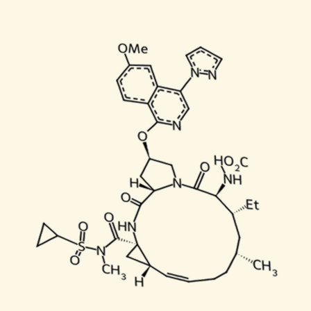 CC[C@@H]1C[C@H](C)CCC=C[C@@H]2C[C@@]2(C(=O)N(C)S(=O)(=O)C2CC2)NC(=O)[C@@H]2C[C@@H](Oc3ncc(-n4cccn4)c4cc(OC)ccc34)CN2C(=O)[C@H]1NC(=O)O